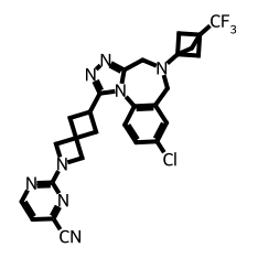 N#Cc1ccnc(N2CC3(CC(c4nnc5n4-c4ccc(Cl)cc4CN(C46CC(C(F)(F)F)(C4)C6)C5)C3)C2)n1